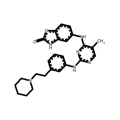 Cc1cnc(Nc2cccc(CCN3CCCCC3)c2)nc1Nc1ccc2oc(=O)[nH]c2c1